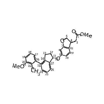 COC(=O)CC1COc2cc(O[C@@H]3CCc4c(-c5cccc(OC)c5C)cccc43)ccc21